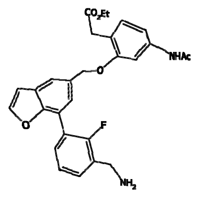 CCOC(=O)Cc1ccc(NC(C)=O)cc1OCc1cc(-c2cccc(CN)c2F)c2occc2c1